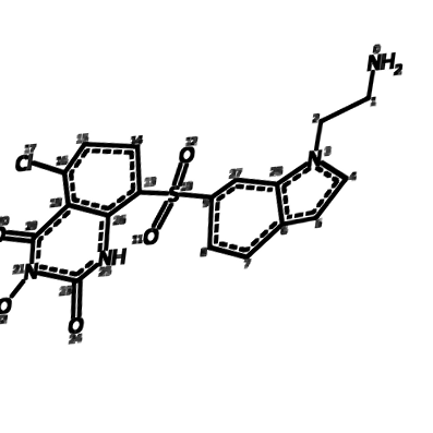 NCCn1ccc2ccc(S(=O)(=O)c3ccc(Cl)c4c(=O)n(O)c(=O)[nH]c34)cc21